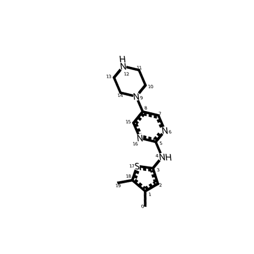 Cc1cc(Nc2ncc(N3CCNCC3)cn2)sc1C